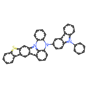 c1ccc(-n2c3ccccc3c3cc(N4c5ccccc5-n5c6cc7sc8ccccc8c7cc6c6cccc4c65)ccc32)cc1